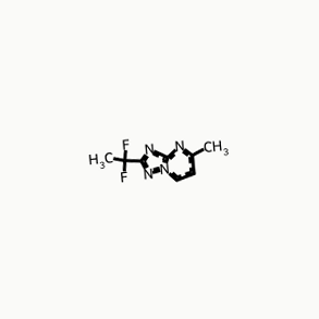 Cc1ccn2nc(C(C)(F)F)nc2n1